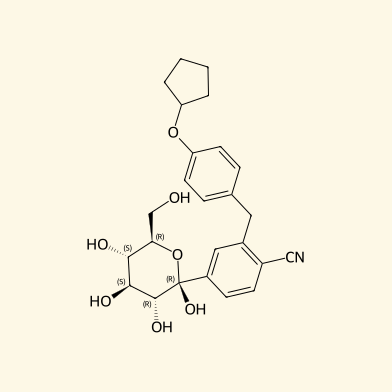 N#Cc1ccc([C@@]2(O)O[C@H](CO)[C@@H](O)[C@H](O)[C@H]2O)cc1Cc1ccc(OC2CCCC2)cc1